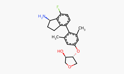 Cc1cc(O[C@@H]2COC[C@H]2O)cc(C)c1-c1ccc(F)c2c1CC[C@H]2N